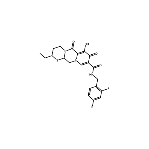 CCC1CCN2C(=O)c3c(O)c(=O)c(C(=O)NCc4ccc(F)cc4F)cn3CC2S1